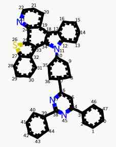 c1ccc(-c2cc(-c3ccc(-n4c5ccccc5c5c6cccnc6c6sc7ccccc7c6c54)cc3)nc(-c3ccccc3)n2)cc1